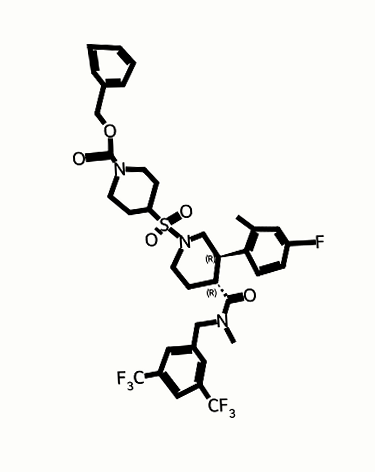 Cc1cc(F)ccc1[C@@H]1CN(S(=O)(=O)C2CCN(C(=O)OCc3ccccc3)CC2)CC[C@H]1C(=O)N(C)Cc1cc(C(F)(F)F)cc(C(F)(F)F)c1